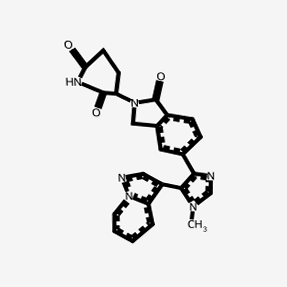 Cn1cnc(-c2ccc3c(c2)CN(C2CCC(=O)NC2=O)C3=O)c1-c1cnn2ccccc12